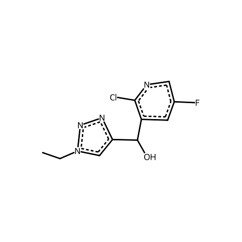 CCn1cc(C(O)c2cc(F)cnc2Cl)nn1